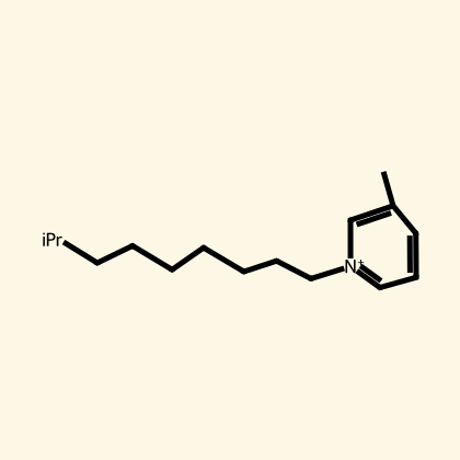 Cc1ccc[n+](CCCCCCCC(C)C)c1